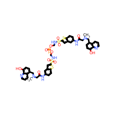 CN(CC(=O)Nc1ccc2sc(S(=O)(=O)NCO[PH](=O)OCNS(=O)(=O)c3cc4cc(NC(=O)CN(C)Cc5ccc(O)c6ncccc56)ccc4s3)cc2c1)Cc1ccc(O)c2ncccc12